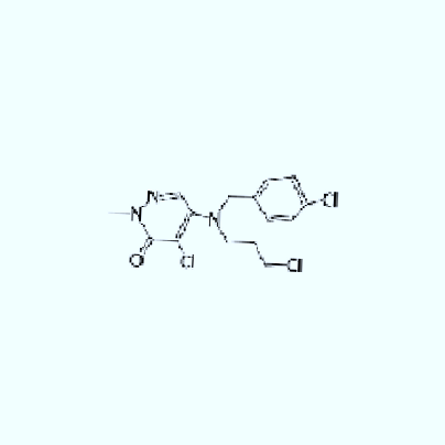 Cn1ncc(N(CCCCl)Cc2ccc(Cl)cc2)c(Cl)c1=O